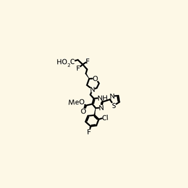 COC(=O)C1=C(CN2CCO[C@H](CCC(F)(F)CC(=O)O)C2)NC(c2nccs2)=N[C@H]1c1ccc(F)cc1Cl